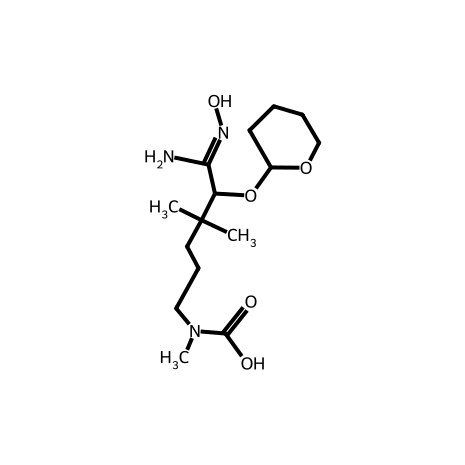 CN(CCCC(C)(C)C(OC1CCCCO1)C(N)=NO)C(=O)O